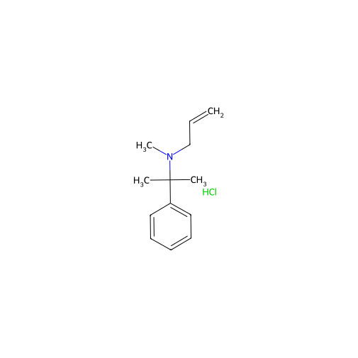 C=CCN(C)C(C)(C)c1ccccc1.Cl